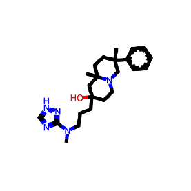 CN(CCCC1(O)CCN2CC(C)(c3ccccc3)CCC2(C)C1)c1nc[nH]n1